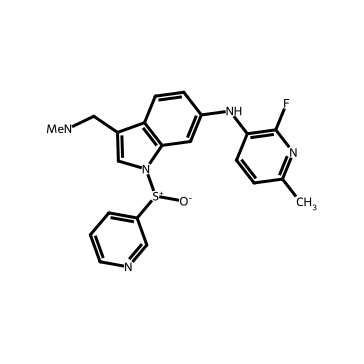 CNCc1cn([S+]([O-])c2cccnc2)c2cc(Nc3ccc(C)nc3F)ccc12